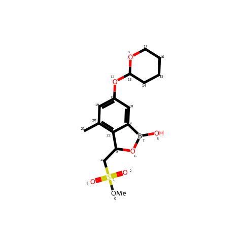 COS(=O)(=O)CC1OB(O)c2cc(OC3CCCCO3)cc(C)c21